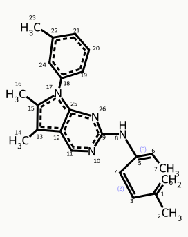 C=C(C)/C=C\C(=C/C)Nc1ncc2c(C)c(C)n(-c3cccc(C)c3)c2n1